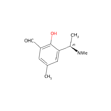 CN[C@H](C)c1cc(C)cc(C=O)c1O